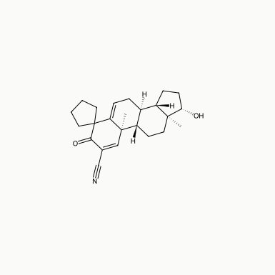 C[C@]12CC[C@H]3[C@@H](CC=C4C5(CCCC5)C(=O)C(C#N)=C[C@@]43C)[C@@H]1CC[C@@H]2O